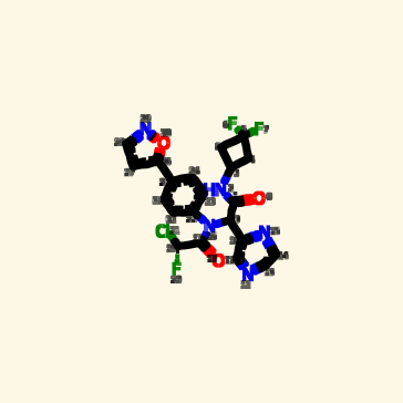 O=C(NC1CC(F)(F)C1)C(c1cnccn1)N(C(=O)[C@H](F)Cl)c1ccc(-c2ccno2)cc1